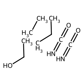 CC.CCC.CCO.N=C=O.N=C=O